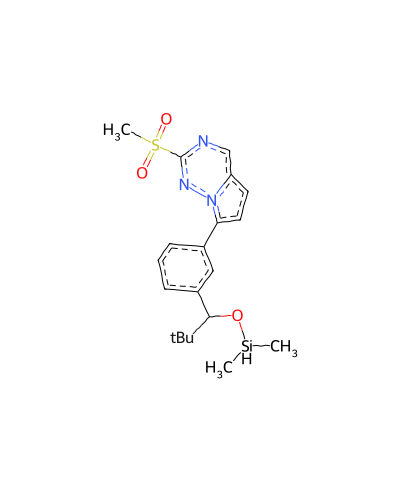 C[SiH](C)OC(c1cccc(-c2ccc3cnc(S(C)(=O)=O)nn23)c1)C(C)(C)C